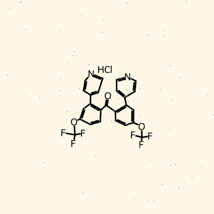 Cl.O=C(c1ccc(OC(F)(F)F)cc1-c1ccncc1)c1ccc(OC(F)(F)F)cc1-c1ccncc1